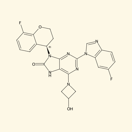 O=c1[nH]c2c(N3CC(O)C3)nc(-n3cnc4ccc(F)cc43)nc2n1[C@@H]1CCOc2c(F)cccc21